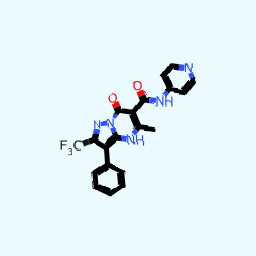 Cc1[nH]c2c(-c3ccccc3)c(C(F)(F)F)nn2c(=O)c1C(=O)Nc1ccncc1